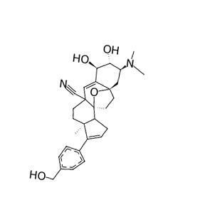 CN(C)[C@H]1C[C@@]23CC[C@]4(O2)C2CC=C(c5ccc(CO)cc5)[C@@]2(C)CCC4(C#N)C=C3[C@@H](O)[C@@H]1O